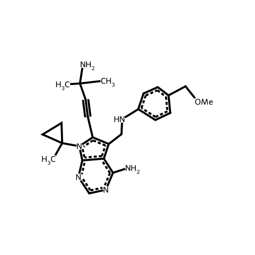 COCc1ccc(NCc2c(C#CC(C)(C)N)n(C3(C)CC3)c3ncnc(N)c23)cc1